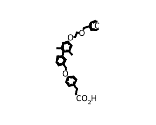 Cc1cc(OCCOCc2ccccc2)cc(C)c1-c1cccc(COc2ccc(CCC(=O)O)cc2)c1